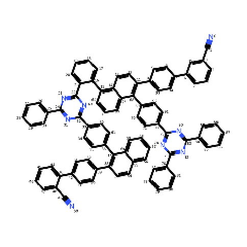 N#Cc1cccc(-c2ccc(-c3ccc4c(-c5ccccc5-c5nc(-c6ccccc6)nc(-c6ccc(-c7c(-c8ccc(-c9ccccc9C#N)cc8)ccc8ccccc78)cc6)n5)cccc4c3-c3ccc(-c4nc(-c5ccccc5)nc(-c5ccccc5)n4)cc3)cc2)c1